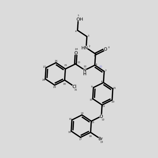 O=C(NCCO)/C(=C/c1ccc(Oc2ccccc2Br)cc1)NC(=O)c1ccccc1Cl